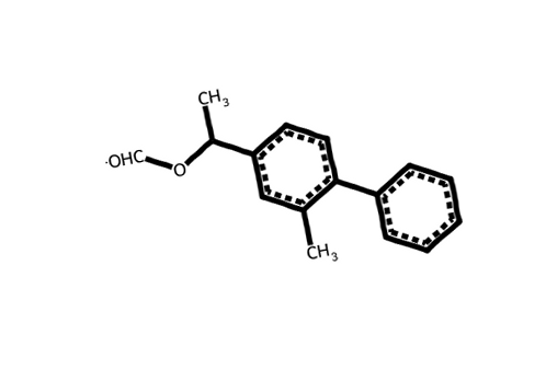 Cc1cc(C(C)O[C]=O)ccc1-c1ccccc1